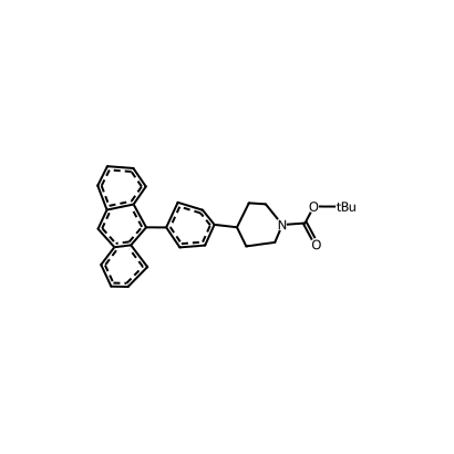 CC(C)(C)OC(=O)N1CCC(c2ccc(-c3c4ccccc4cc4ccccc34)cc2)CC1